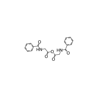 O=C(CNC(=O)c1ccccc1)OC(=O)CNC(=O)c1ccccc1